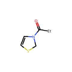 CCC(=O)N1C=CSC1